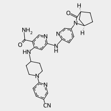 N#Cc1ccc(N2CCC(Nc3cc(Nc4ccc(N5C(=O)[C@H]6CC[C@@H]5C6)cn4)ncc3C(N)=O)CC2)nc1